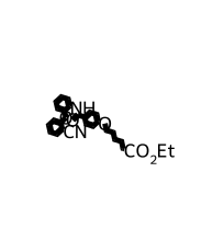 CCOC(=O)CCCCCOc1ccc(C(=O)Nc2ccccc2Oc2ccccc2C#N)cc1